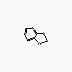 c1cnc2c(c1)OCS2